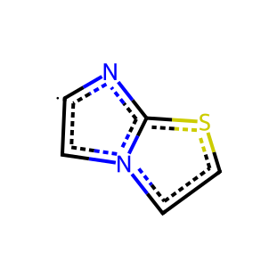 [c]1cn2ccsc2n1